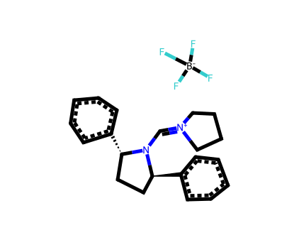 C(N1[C@@H](c2ccccc2)CC[C@@H]1c1ccccc1)=[N+]1CCCC1.F[B-](F)(F)F